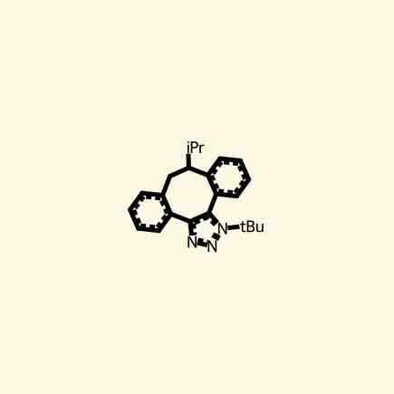 CC(C)C1Cc2ccccc2-c2nnn(C(C)(C)C)c2-c2ccccc21